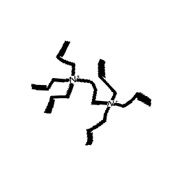 C=CC[N+](CC=C)(CC=C)CC[N+](CC=C)(CC=C)CC=C